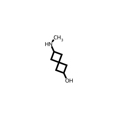 CNC1CC2(CC(O)C2)C1